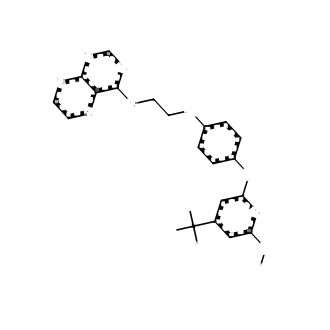 COc1cc(C(F)(F)F)cc(Oc2ccc(OCCNc3ncnc4nccnc34)cc2)n1